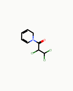 O=C(C(Cl)C(Cl)Cl)N1C=CC=CC1